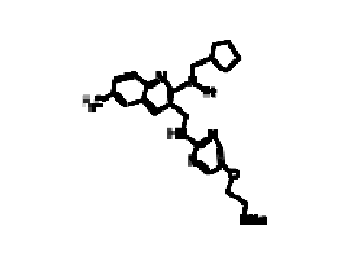 CCN(CC1CCCC1)c1nc2ccc(C(F)(F)F)cc2cc1CNc1ncc(OCCSC)cn1